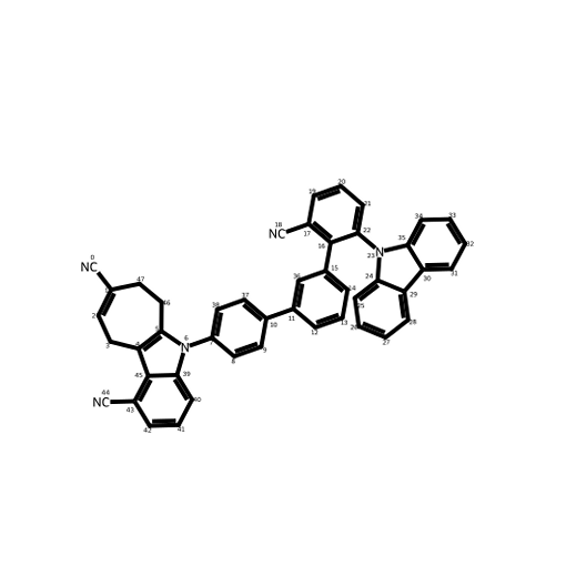 N#CC1=CCc2c(n(-c3ccc(-c4cccc(-c5c(C#N)cccc5-n5c6ccccc6c6ccccc65)c4)cc3)c3cccc(C#N)c23)CC1